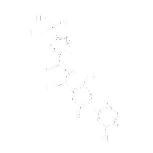 Cc1cc(-c2cc(Cl)ncn2)c(F)cc1[C@@H](C)NC(=O)c1nc(C(C)(C)C)no1